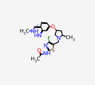 CN/C=C1/C=CC(OC2CC(C)N(Cc3sc(NC(C)=O)nc3F)C2)=CC1=N